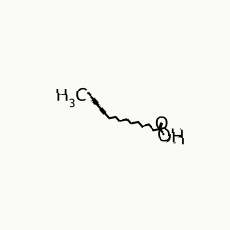 CCC#CC#CCCCCCCCCCC(=O)O